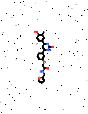 Cc1cc(-c2cc(-c3cccc(OCC(=O)NCc4ccco4)c3)[nH]c(=O)n2)ccc1O